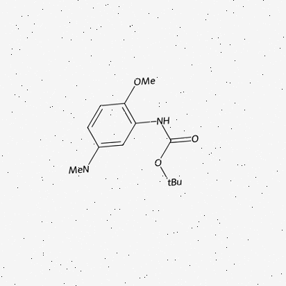 CNc1ccc(OC)c(NC(=O)OC(C)(C)C)c1